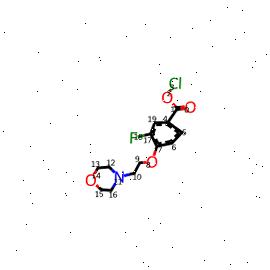 O=C(OCl)c1ccc(OCCN2CCOCC2)c(F)c1